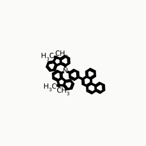 CC1(C)c2ccccc2-c2c(N(c3ccc(-c4cc5ccc6ccccc6c5c5ccccc45)cc3)c3cccc4c3-c3ccccc3C4(C)C)cccc21